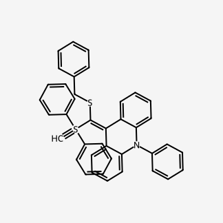 C#S(C(SCc1ccccc1)=C1c2ccccc2N(c2ccccc2)c2ccccc21)(c1ccccc1)c1ccccc1